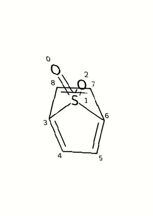 O=S1(=O)C2=CC=C1C=C2